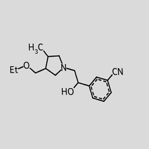 CCOCC1CN(CC(O)c2cccc(C#N)c2)CC1C